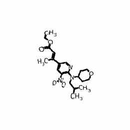 CCOC(=O)/C=C(\C)c1cnc(N(CC(C)C)C2CCOCC2)c([N+](=O)[O-])c1